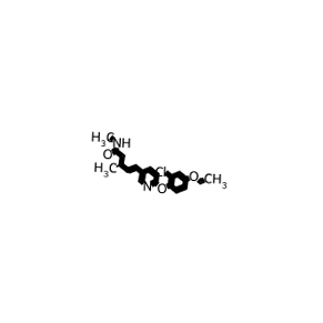 CCOc1ccc(Oc2ccc(/C=C/[C@H](C)CC(=O)NC)cn2)c(Cl)c1